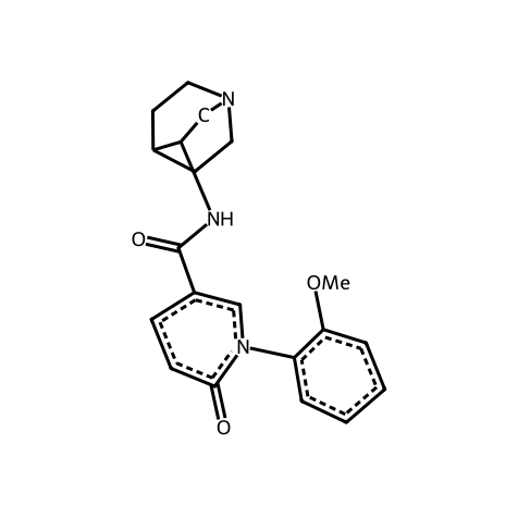 COc1ccccc1-n1cc(C(=O)NC2CN3CCC2CC3)ccc1=O